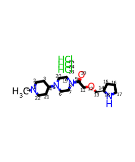 CN1CCC(N2CCN(C(=O)COC[C@H]3CCCN3)CC2)CC1.Cl.Cl.Cl